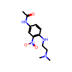 CC(=O)Nc1ccc(NCCN(C)C)c([N+](=O)[O-])c1